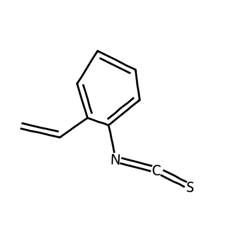 C=Cc1ccccc1N=C=S